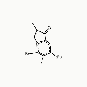 Cc1c(C(C)(C)C)cc2c(c1Br)CC(C)C2=O